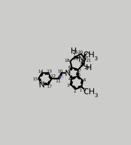 Cc1ccc2c(c1)c1c(n2/C=C/c2cccnc2)C[C@H]2CC[C@@H]1N2C